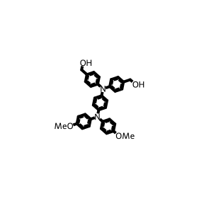 COc1ccc(N(c2ccc(OC)cc2)c2ccc(N(c3ccc(CO)cc3)c3ccc(CO)cc3)cc2)cc1